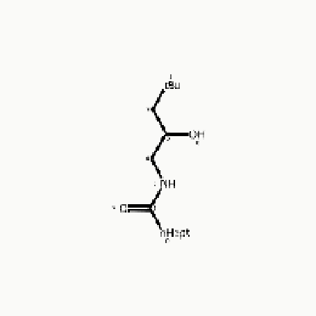 CCCCCCCC(=O)NCC(O)CC(C)(C)C